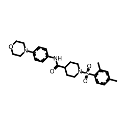 Cc1ccc(S(=O)(=O)N2CCC(C(=O)Nc3ccc(N4CCOCC4)cc3)CC2)c(C)c1